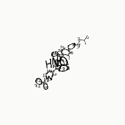 CCCCOc1ccc(S(=O)(=O)NC(=O)c2ccc(C(=O)OC)nc2)cc1